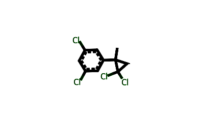 CC1(c2cc(Cl)cc(Cl)c2)[CH]C1(Cl)Cl